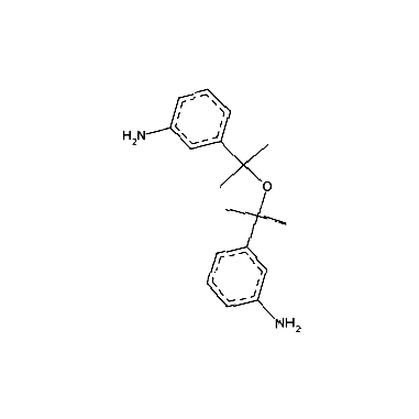 CC(C)(OC(C)(C)c1cccc(N)c1)c1cccc(N)c1